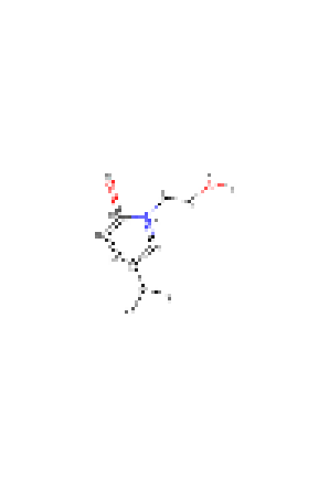 COCCn1cc(C(C)C)ccc1=O